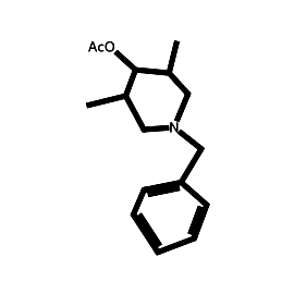 CC(=O)OC1C(C)CN(Cc2ccccc2)CC1C